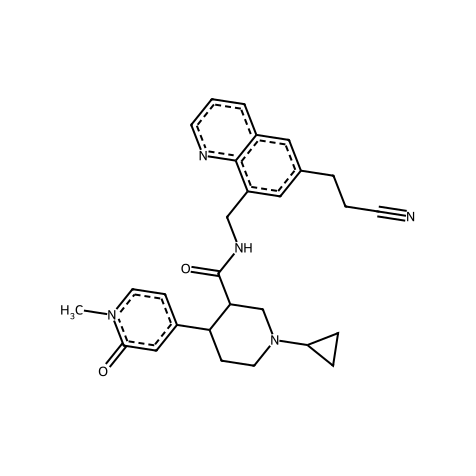 Cn1ccc(C2CCN(C3CC3)CC2C(=O)NCc2cc(CCC#N)cc3cccnc23)cc1=O